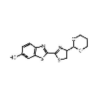 Oc1ccc2nc(C3=NC(C4OCCCO4)CS3)sc2c1